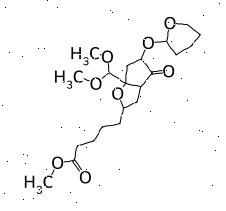 COC(=O)CCCCC1CC2C(=O)C(OC3CCCCO3)CC2(C(OC)OC)O1